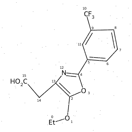 CCOc1oc(-c2cccc(C(F)(F)F)c2)nc1CC(=O)O